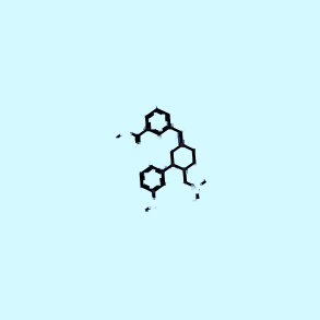 COC(=O)c1cccc(/C=C2/CCC(CN(C)C)C(c3cccc(OC)c3)C2)c1